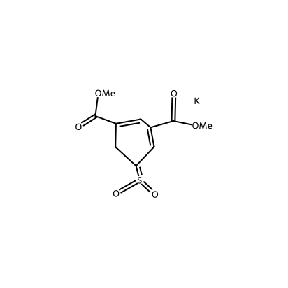 COC(=O)C1=CC(=S(=O)=O)CC(C(=O)OC)=C1.[K]